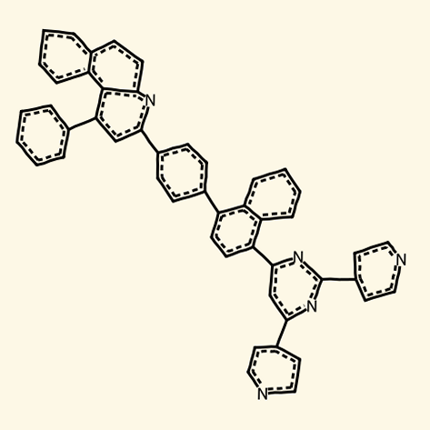 c1ccc(-c2cc(-c3ccc(-c4ccc(-c5cc(-c6ccncc6)nc(-c6ccncc6)n5)c5ccccc45)cc3)nc3ccc4ccccc4c23)cc1